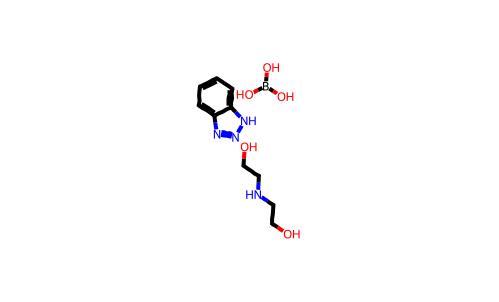 OB(O)O.OCCNCCO.c1ccc2[nH]nnc2c1